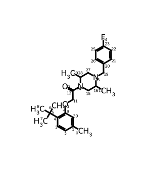 Cc1ccc(C(C)(C)C)c(OCC(=O)N2CC(C)N(Cc3ccc(F)cc3)CC2C)c1